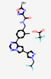 Cc1cc(-c2ncnn3cc(-c4cnn(CC(F)F)c4)cc23)ccc1CNC(=O)c1noc(C(C)(C)C)n1.O=C(O)C(F)(F)F